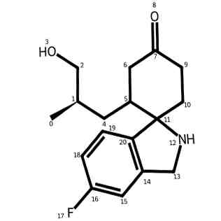 C[C@@H](CO)CC1CC(=O)CCC12NCc1cc(F)ccc12